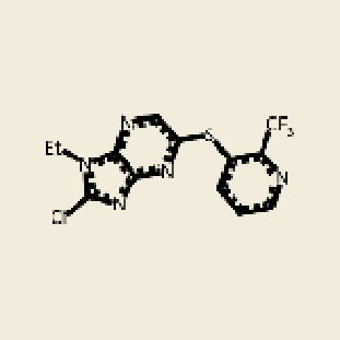 CCn1c(Cl)nc2nc(Sc3cccnc3C(F)(F)F)cnc21